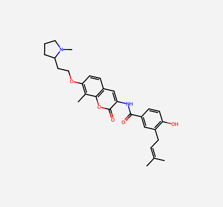 CC(C)=CCc1cc(C(=O)Nc2cc3ccc(OCCC4CCCN4C)c(C)c3oc2=O)ccc1O